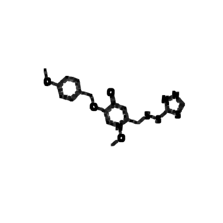 COc1ccc(COc2cn(OC)c(CSSc3nncs3)cc2=O)cc1